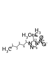 CCCCCCN1N=CN([N+](=O)[O-])C1C(C)C